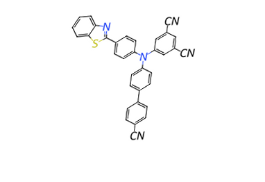 N#Cc1ccc(-c2ccc(N(c3ccc(-c4nc5ccccc5s4)cc3)c3cc(C#N)cc(C#N)c3)cc2)cc1